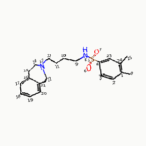 Cc1ccc(S(=O)(=O)NCCCCN2CCc3ccccc3C2)cc1C